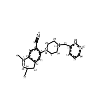 CNc1cc(C#N)c(N2CCN(Cc3cccnn3)CC2)cc1CC(C)C